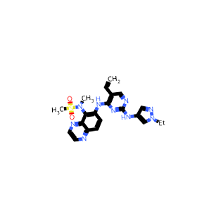 C=Cc1cnc(Nc2cnn(CC)c2)nc1Nc1ccc2nccnc2c1N(C)S(C)(=O)=O